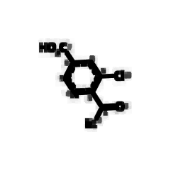 CCC(=O)c1ncc(C(=O)O)cc1Cl